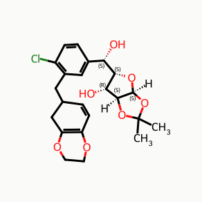 CC1(C)O[C@@H]2O[C@@H]([C@@H](O)c3ccc(Cl)c(CC4C=CC5=C(C4)OCCO5)c3)[C@@H](O)[C@@H]2O1